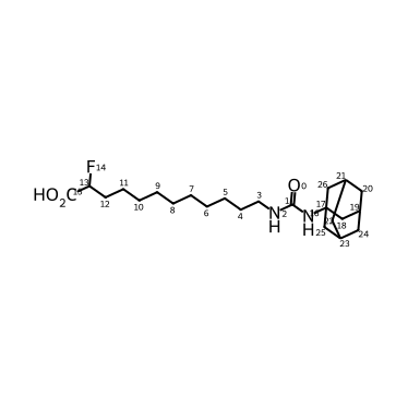 O=C(NCCCCCCCCCCC(F)C(=O)O)NC12CC3CC(CC(C3)C1)C2